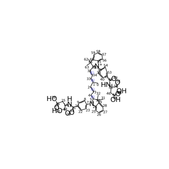 CC(/C=C/C=C1/N(c2ccc(C(=O)NC(CC(=O)O)C(=O)O)cc2)c2ccccc2C1(C)C)=C\C=C\C1=[N+](c2ccc(C(=O)NC(CC(=O)O)C(=O)O)cc2)c2ccccc2C1(C)C